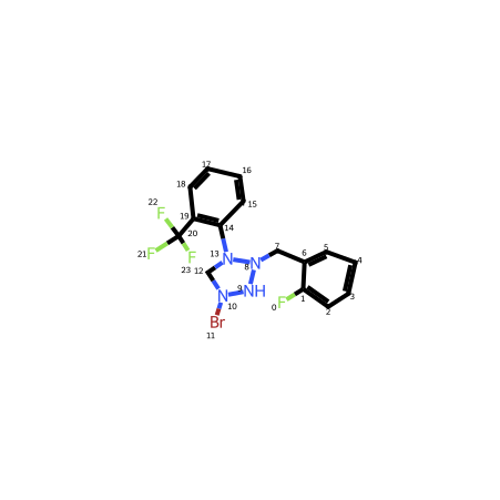 Fc1ccccc1CN1NN(Br)CN1c1[c]cccc1C(F)(F)F